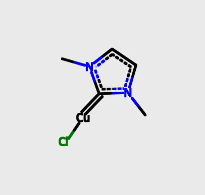 Cn1ccn(C)[c]1=[Cu][Cl]